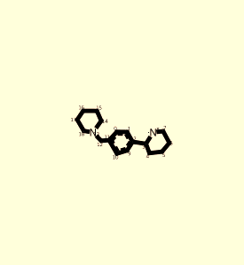 c1cc(C2CCCC[N]2)ccc1CN1CCCCC1